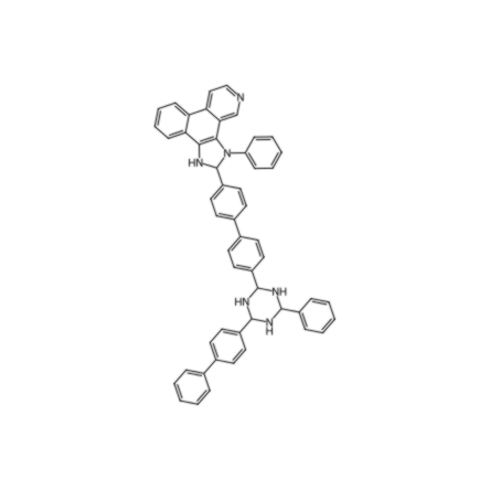 c1ccc(-c2ccc(C3NC(c4ccccc4)NC(c4ccc(-c5ccc(C6Nc7c(c8cnccc8c8ccccc78)N6c6ccccc6)cc5)cc4)N3)cc2)cc1